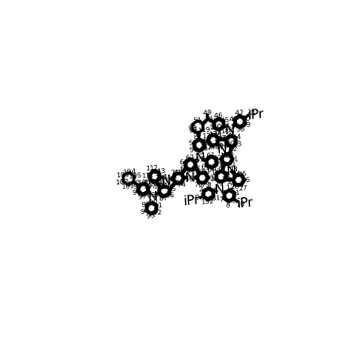 CC(C)c1ccc(N(c2ccc(C(C)C)cc2)c2ccc3c4cc5c(cc4n4c6ccccc6c2c34)c2ccc(N(c3ccc(C(C)C)cc3)c3ccc(C(C)C4CCCC(c6ccc(N(c7ccccc7)c7ccc8c9cc%10c(cc9n9c%11ccccc%11c7c89)c7ccc(N(c8ccccc8)c8ccc(C9CCCCC9)cc8)c8c9ccccc9n%10c78)cc6)C4)cc3)c3c4ccccc4n5c23)cc1